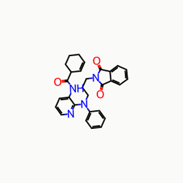 O=C(Nc1cccnc1N(CCCN1C(=O)c2ccccc2C1=O)c1ccccc1)C1C=CCCC1